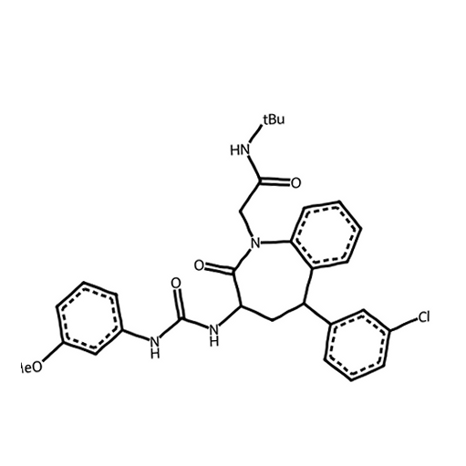 COc1cccc(NC(=O)NC2CC(c3cccc(Cl)c3)c3ccccc3N(CC(=O)NC(C)(C)C)C2=O)c1